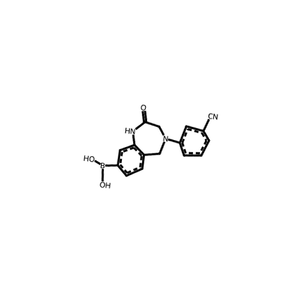 N#Cc1cccc(N2CC(=O)Nc3cc(B(O)O)ccc3C2)c1